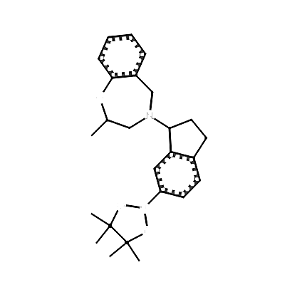 CC1CN(C2CCc3ccc(B4OC(C)(C)C(C)(C)O4)cc32)Cc2ccccc2O1